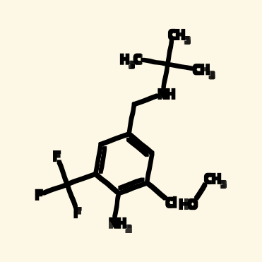 CC(C)(C)NCc1cc(Cl)c(N)c(C(F)(F)F)c1.CO